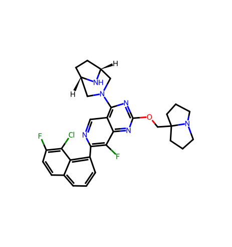 Fc1ccc2cccc(-c3ncc4c(N5C[C@H]6CC[C@@H](C5)N6)nc(OCC56CCCN5CCC6)nc4c3F)c2c1Cl